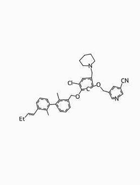 CC/C=C/c1cccc(-c2cccc(COc3cc(OCc4cncc(C#N)c4)c(CN4CCCCC4)cc3Cl)c2C)c1C